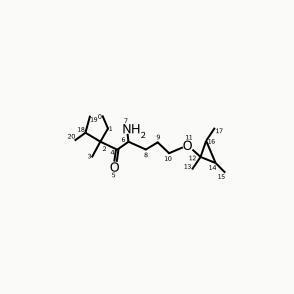 CCC(C)(C(=O)C(N)CCCOC1(C)C(C)C1C)C(C)C